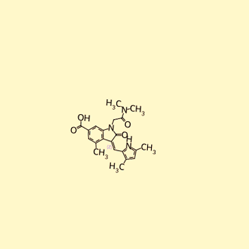 Cc1cc(C)c(/C=C2\C(=O)N(CC(=O)N(C)C)c3cc(C(=O)O)cc(C)c32)[nH]1